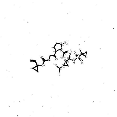 C=CC1(OC(=O)NCC(=O)N2CC[C@@H](CC)[C@H]2C(=O)N[C@]2(C(=O)NS(=O)(=O)C3(C)CC3)C[C@H]2C(F)F)CC1